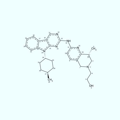 C[C@@H]1CN(CCO)Cc2ccc(Nc3ncc4c5ccccc5n([C@H]5CC[C@H](C)CC5)c4n3)nc21